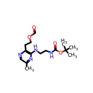 Cc1cnc(CCOC=O)c(NCCNC(=O)OC(C)(C)C)n1